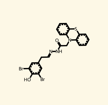 O=C(CN1c2ccccc2Sc2ccccc21)N/N=C/Cc1cc(Br)c(O)c(Br)c1